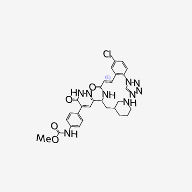 COC(=O)Nc1ccc(-c2cc(C(CC3CCCNC3)NC(=O)/C=C/c3cc(Cl)ccc3-n3cnnn3)n[nH]c2=O)cc1